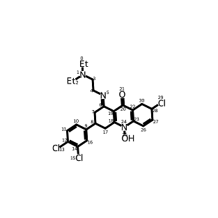 CCN(CC)CCN=C1CC(c2ccc(Cl)c(Cl)c2)Cc2c1c(=O)c1c(n2O)C=CC(Cl)C1